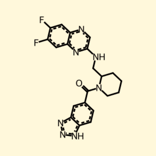 O=C(c1ccc2[nH]nnc2c1)N1CCCCC1CNc1cnc2cc(F)c(F)cc2n1